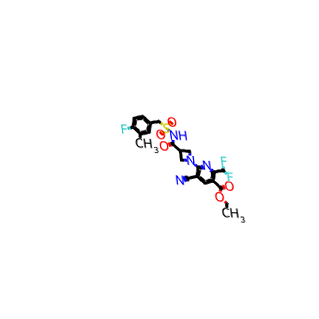 CCOC(=O)c1cc(C#N)c(N2CC(C(=O)NS(=O)(=O)Cc3ccc(F)c(C)c3)C2)nc1C(F)F